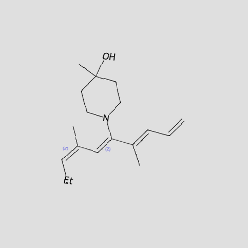 C=CC=C(C)/C(=C/C(C)=C\CC)N1CCC(C)(O)CC1